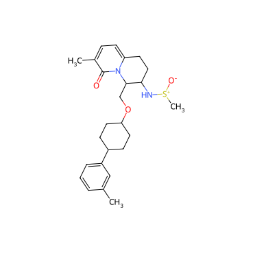 Cc1cccc(C2CCC(OCC3C(N[S+](C)[O-])CCc4ccc(C)c(=O)n43)CC2)c1